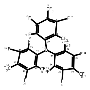 Fc1c(F)c(C(F)(F)F)c(F)c(C(F)(F)F)c1B(c1c(F)c(F)c(C(F)(F)F)c(F)c1C(F)(F)F)c1c(F)c(F)c(C(F)(F)F)c(F)c1C(F)(F)F